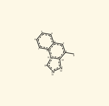 Cc1cc2ccccc2n2cnnc12